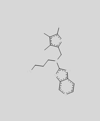 Cc1c(CN(CCCN)c2nc3cnccc3[nH]2)sc(Br)c1Br